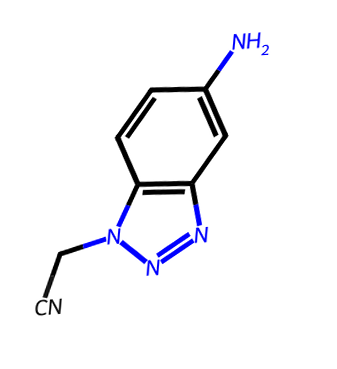 N#CCn1nnc2cc(N)ccc21